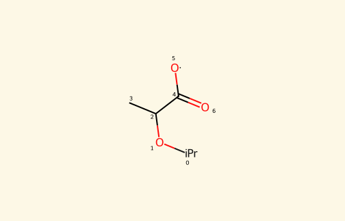 CC(C)OC(C)C([O])=O